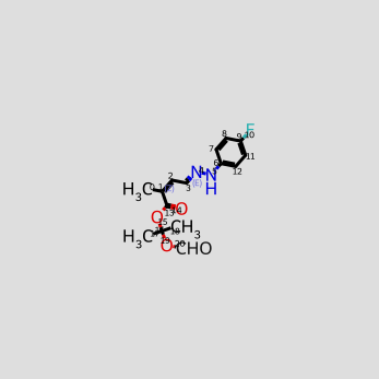 C/C(=C/C=N/Nc1ccc(F)cc1)C(=O)OC(C)(C)OC=O